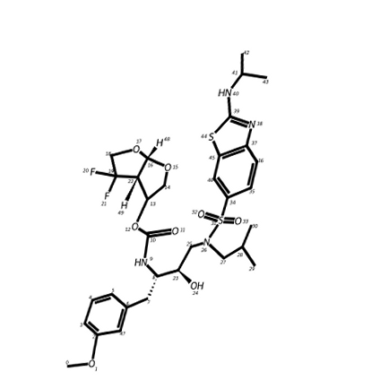 COc1cccc(C[C@H](NC(=O)OC2CO[C@H]3OCC(F)(F)[C@@H]23)[C@H](O)CN(CC(C)C)S(=O)(=O)c2ccc3nc(NC(C)C)sc3c2)c1